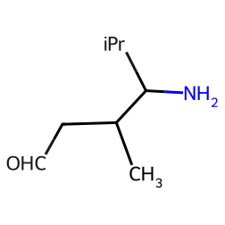 CC(C)C(N)C(C)CC=O